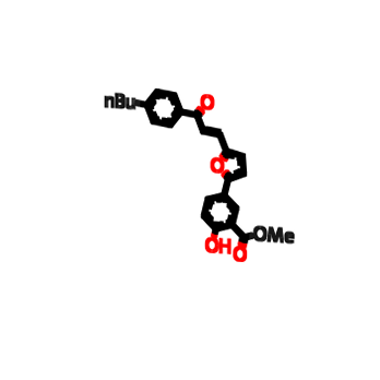 CCCCc1ccc(C(=O)/C=C/c2ccc(-c3ccc(O)c(C(=O)OC)c3)o2)cc1